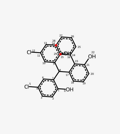 Oc1ccc(Cl)cc1C(c1cc(Cl)ccc1O)c1cccc(O)c1-c1ccccc1